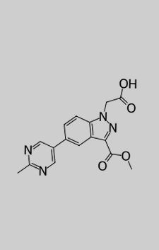 COC(=O)c1nn(CC(=O)O)c2ccc(-c3cnc(C)nc3)cc12